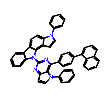 c1ccc(-n2ccc3c2ccc2c4ccccc4n(-c4nc(-c5ccc(-c6cccc7ccccc67)cc5)c5c(ccn5-c5ccccc5)n4)c23)cc1